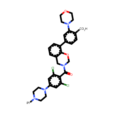 CC(C)N1CCN(c2cc(Cl)c(C(=O)N3COc4c(cccc4-c4ccc(C(=O)O)c(N5CCOCC5)c4)C3)c(Cl)c2)CC1